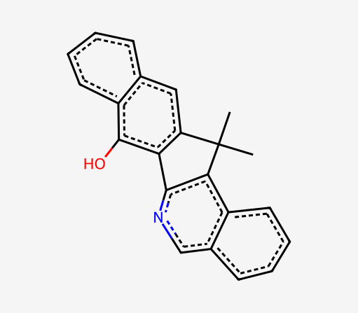 CC1(C)c2cc3ccccc3c(O)c2-c2ncc3ccccc3c21